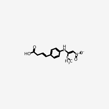 CS/C(=C\[N+](=O)[O-])Nc1ccc(/C=C/CC(=O)O)cc1